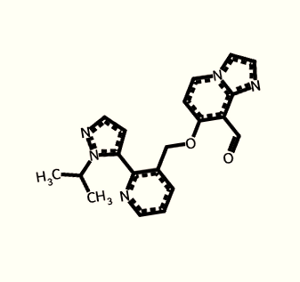 CC(C)n1nccc1-c1ncccc1COc1ccn2ccnc2c1C=O